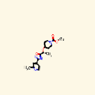 Cc1cc(-c2noc([C@@H](C)OC3CCN(C(=O)OC(C)(C)C)CC3)n2)ccn1